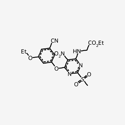 CCOC(=O)CNc1nc(S(C)(=O)=O)nc(Oc2cc(C#N)cc(OCC)c2)c1[N+](=O)[O-]